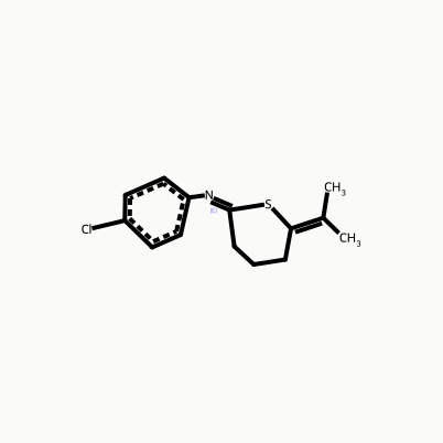 CC(C)=C1CCC/C(=N\c2ccc(Cl)cc2)S1